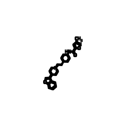 Cc1cc(C(=O)N[C@H]2CC[C@H](CCN3CCC(c4coc5ccccc45)CC3)CC2)on1